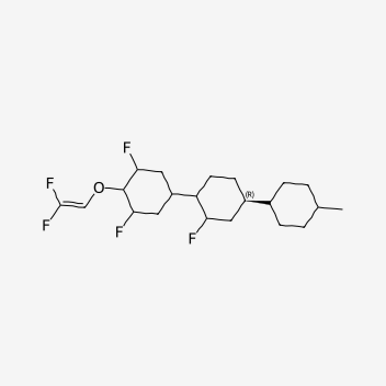 CC1CCC([C@@H]2CCC(C3CC(F)C(OC=C(F)F)C(F)C3)C(F)C2)CC1